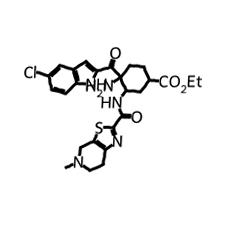 CCOC(=O)C1CCC(N)(C(=O)c2cc3cc(Cl)ccc3[nH]2)C(NC(=O)c2nc3c(s2)CN(C)CC3)C1